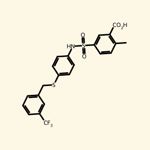 Cc1ccc(S(=O)(=O)Nc2ccc(SCc3cccc(C(F)(F)F)c3)cc2)cc1C(=O)O